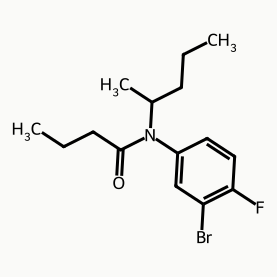 CCCC(=O)N(c1ccc(F)c(Br)c1)C(C)CCC